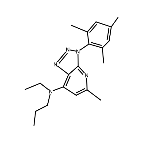 CCCN(CC)c1cc(C)nc2c1nnn2-c1c(C)cc(C)cc1C